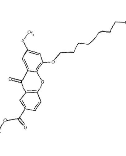 CCCCCCCCOc1cc(SC)cc2c(=O)c3cc(C(=O)OC)ccc3oc12